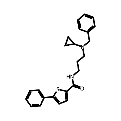 O=C(NCCCN(Cc1ccccc1)C1CC1)c1ccc(-c2ccccc2)s1